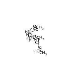 Cc1nc(-c2nc(NC3CCN(S(C)(=O)=O)CC3)ncc2C(F)(F)F)cn1-c1ccc(C2CN(CC(C)O)C2)cc1F